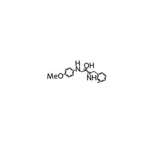 COc1ccc(NC[C@@H](O)[C@@H](N)Cc2ccccc2)cc1